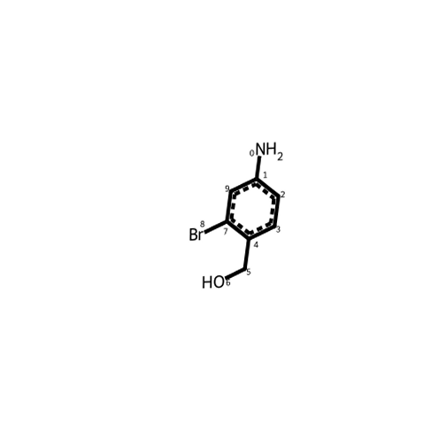 Nc1ccc(CO)c(Br)c1